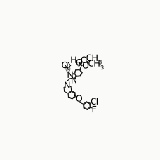 CC(C)(C)OC(=O)c1ccc2nc(CN3CCc4ccc(OCc5ccc(F)c(Cl)c5)cc4C3)n(C[C@@H]3CCO3)c2c1